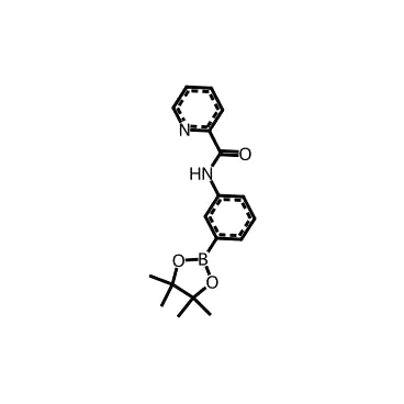 CC1(C)OB(c2cccc(NC(=O)c3ccccn3)c2)OC1(C)C